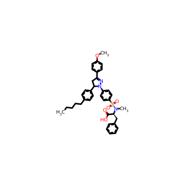 CCCCCc1ccc(C2CC(c3ccc(OC)cc3)=NN2c2ccc(S(=O)(=O)N(C)[C@@H](Cc3ccccc3)C(=O)O)cc2)cc1